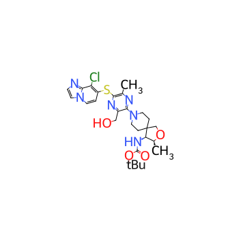 Cc1nc(N2CCC3(CC2)CO[C@@H](C)[C@H]3NC(=O)OC(C)(C)C)c(CO)nc1Sc1ccn2ccnc2c1Cl